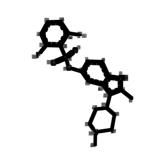 Cc1[nH]c2ccc(OS(=O)(=O)c3c(F)cccc3F)cc2c1C1CCN(C)CC1